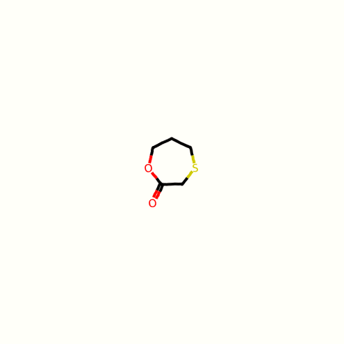 O=C1CSCCCO1